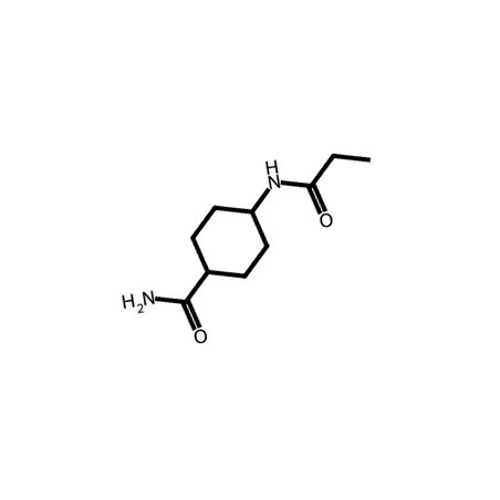 CCC(=O)NC1CCC(C(N)=O)CC1